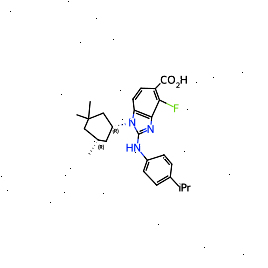 CC(C)c1ccc(Nc2nc3c(F)c(C(=O)O)ccc3n2[C@@H]2C[C@H](C)CC(C)(C)C2)cc1